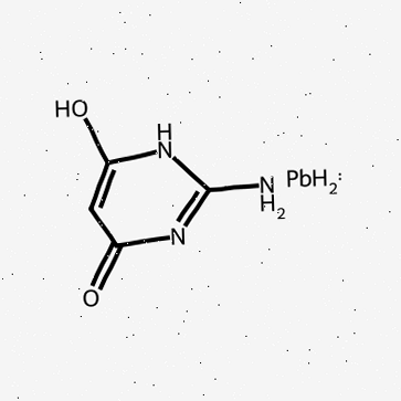 Nc1nc(=O)cc(O)[nH]1.[PbH2]